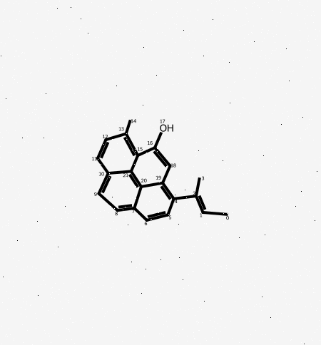 C/C=C(\C)c1ccc2ccc3ccc(C)c4c(O)cc1c2c34